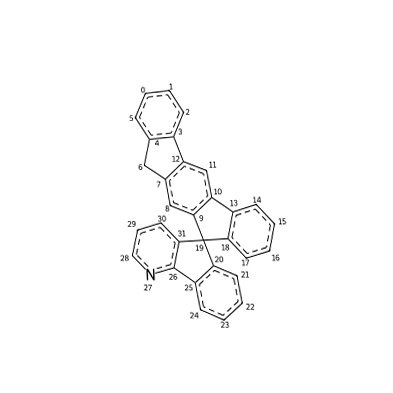 c1ccc2c(c1)Cc1cc3c(cc1-2)-c1ccccc1C31c2ccccc2-c2ncccc21